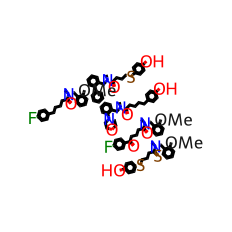 CN(Cc1ccccc1-c1ccccc1)C(=O)CCCSc1ccc(O)cc1.CN(Cc1ccccc1N1CCOCC1)C(=O)CCCCc1ccc(O)cc1.COc1ccccc1CN(C)C(=O)CCCC(=O)c1ccc(F)cc1.COc1ccccc1CN(C)C(=O)CCCCc1ccc(F)cc1.COc1ccccc1CN(C)C(=S)CCCSc1ccc(O)cc1